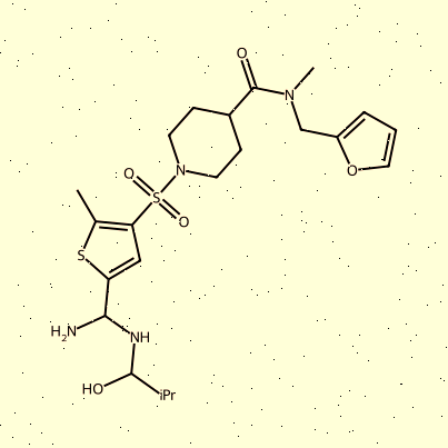 Cc1sc(C(N)NC(O)C(C)C)cc1S(=O)(=O)N1CCC(C(=O)N(C)Cc2ccco2)CC1